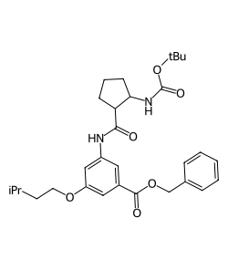 CC(C)CCOc1cc(NC(=O)C2CCCC2NC(=O)OC(C)(C)C)cc(C(=O)OCc2ccccc2)c1